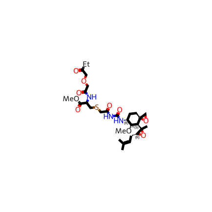 CCC(=O)COCC(=O)NC(CSCC(=O)NC(=O)N[C@@H]1CC[C@]2(CO2)[C@@H](C2(C)O[C@@H]2CC=C(C)C)[C@@H]1OC)C(=O)OC